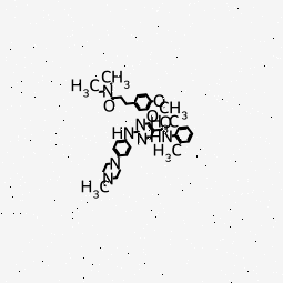 CCN(CC)C(=O)CCc1ccc(OC)c(Oc2nc(Nc3ccc(N4CCN(C)CC4)cc3)ncc2C(=O)Nc2c(C)cccc2C)c1